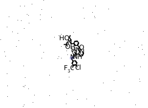 CC(O)CN(Cc1cccc(C(=O)Nc2ncccc2C(=O)N/N=C\c2ccc(Cl)c(C(F)(F)F)c2)c1)CC(C)O